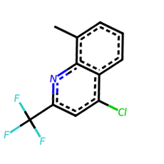 Cc1cccc2c(Cl)cc(C(F)(F)F)nc12